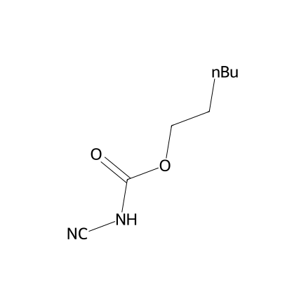 CCCCCCOC(=O)NC#N